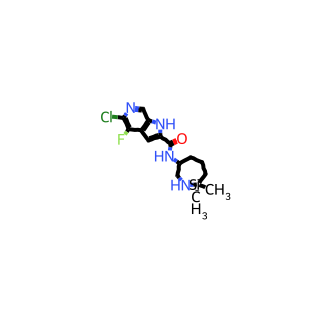 C[Si]1(C)CCCC(NC(=O)c2cc3c(F)c(Cl)ncc3[nH]2)CN1